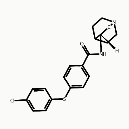 O=C(N[C@H]1CN2CCC1CC2)c1ccc(Sc2ccc(Cl)cc2)cc1